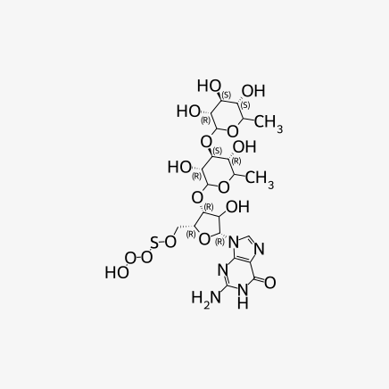 CC1OC(O[C@H]2[C@H](O)C(C)OC(O[C@@H]3C(O)[C@H](n4cnc5c(=O)[nH]c(N)nc54)O[C@@H]3COSOOO)[C@@H]2O)[C@H](O)[C@@H](O)[C@@H]1O